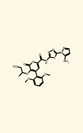 COc1cccc(OC)c1-c1cc(C(=O)Nc2nnc(-n3nccc3N)s2)oc(=O)c1OC(C)CO